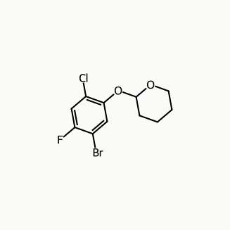 Fc1cc(Cl)c(OC2CCCCO2)cc1Br